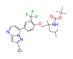 CC(C)CC(C)(COc1ccc(-c2ccnc3cc(C4CC4)nn23)cc1C(F)(F)F)NC(=O)OC(C)(C)C